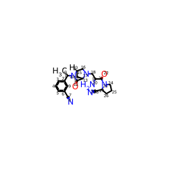 CC(c1cccc(C#N)c1)N1C(=O)C2C[C@H]1CN2CC(N)C(=O)N1CCCC1C#N